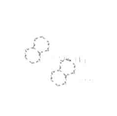 Cc1cccc2cccc(C(=O)[O-])c12.Cc1cccc2cccc(C(=O)[O-])c12.[Hg+2]